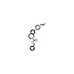 CCCN1CCN(c2ccc3c(c2)CN(C(=O)OCc2ccccc2)CCC3)CC1